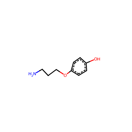 NCCCOc1ccc(O)cc1